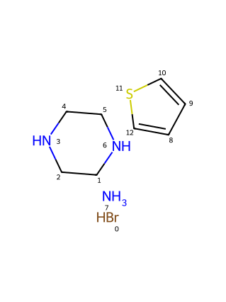 Br.C1CNCCN1.N.c1ccsc1